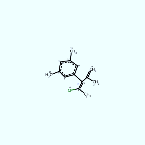 C=C(C)/C(=C(\C)Cl)c1cc(C)cc(C)c1